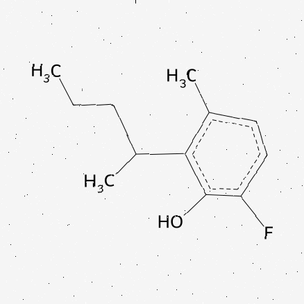 CCCC(C)c1c(C)ccc(F)c1O